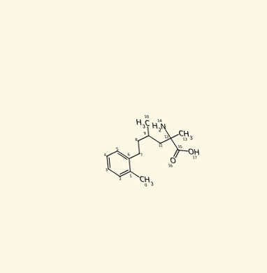 Cc1ccccc1CCC(C)CC(C)(N)C(=O)O